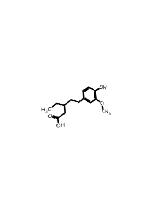 CCC(CCc1ccc(O)c(OC)c1)CC(=O)O